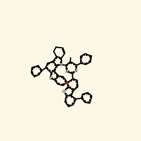 Cc1c(-c2ccccc2)nc(-c2ccc3c(c2)oc2cccc(-c4ccccc4)c23)nc1-n1c2c(c3cc(-c4ccccc4)c4sc5ccccc5c4c31)CCC=C2